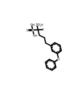 O=P(O)(O)C(F)(CCCc1cccc(Oc2ccccc2)c1)S(=O)(=O)O